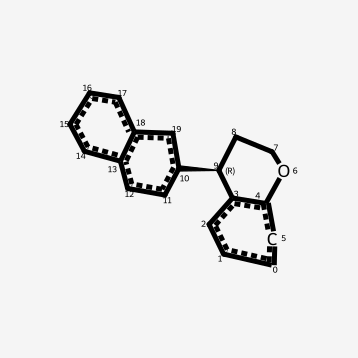 c1ccc2c(c1)OCC[C@@H]2c1ccc2ccccc2c1